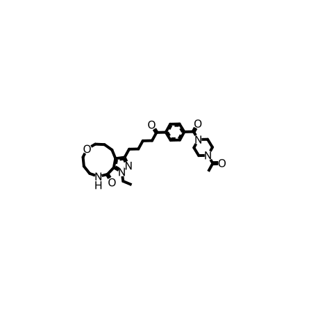 CCn1nc(CCCCC(=O)c2ccc(C(=O)N3CCN(C(C)=O)CC3)cc2)c2c1C(=O)NCCCOCCC2